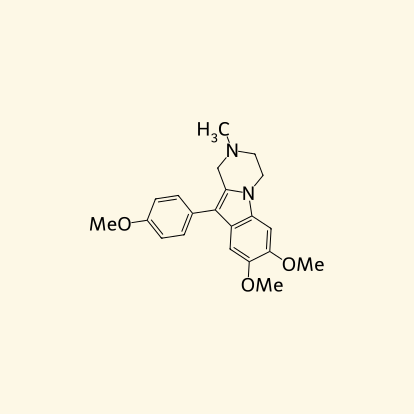 COc1ccc(-c2c3n(c4cc(OC)c(OC)cc24)CCN(C)C3)cc1